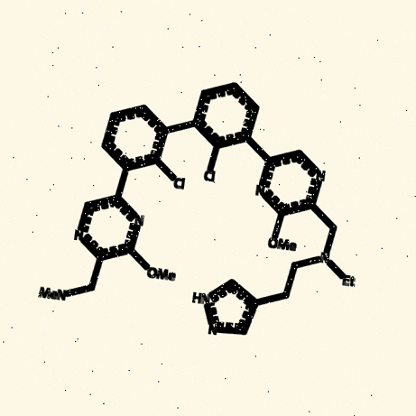 CCN(CCc1cn[nH]c1)Cc1ncc(-c2cccc(-c3cccc(-c4cnc(CNC)c(OC)n4)c3Cl)c2Cl)nc1OC